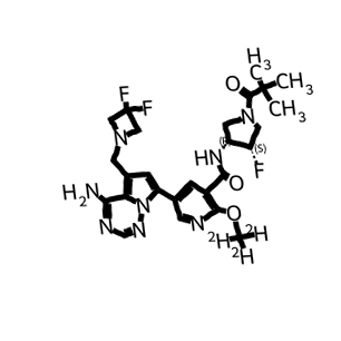 [2H]C([2H])([2H])Oc1ncc(-c2cc(CN3CC(F)(F)C3)c3c(N)ncnn23)cc1C(=O)N[C@@H]1CN(C(=O)C(C)(C)C)C[C@@H]1F